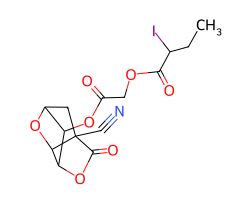 CCC(I)C(=O)OCC(=O)OC1C2CC3(C#N)C(=O)OC1C3O2